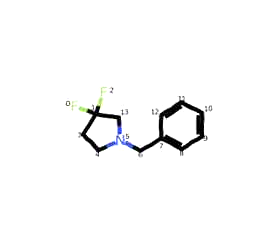 FC1(F)CCN(Cc2ccccc2)C1